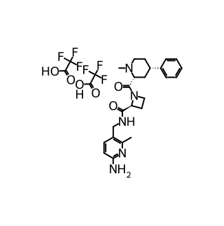 Cc1nc(N)ccc1CNC(=O)[C@@H]1CCN1C(=O)[C@H]1C[C@@H](c2ccccc2)CCN1C.O=C(O)C(F)(F)F.O=C(O)C(F)(F)F